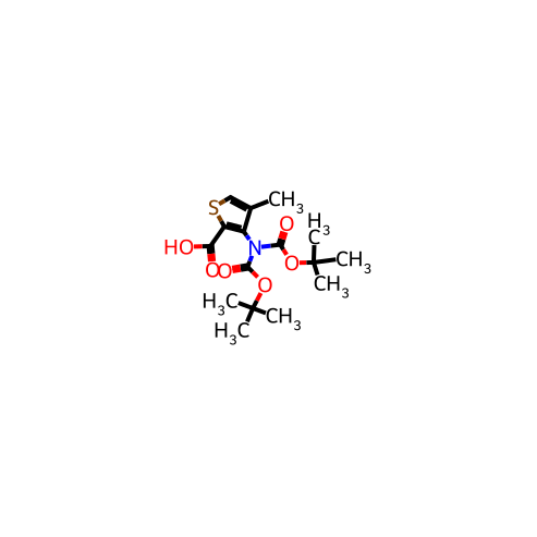 Cc1csc(C(=O)O)c1N(C(=O)OC(C)(C)C)C(=O)OC(C)(C)C